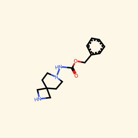 O=C(NN1CCC2(CC1)CNC2)OCc1ccccc1